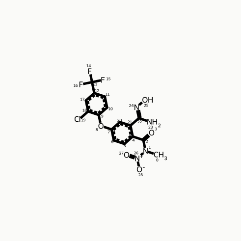 CN(C(=O)c1ccc(Oc2ccc(C(F)(F)F)cc2Cl)cc1C(N)=NO)[N+](=O)[O-]